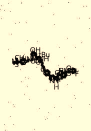 Cc1ncsc1-c1ccc(CNC(=O)[C@@H]2C[C@@H](O)CN2C(=O)[C@@H](NC(=O)CCCOc2ccc(-c3cnc4[nH]cc(C(=O)c5c(F)ccc(NS(=O)(=O)N6CC[C@@H](F)C6)c5F)c4c3)cc2)C(C)(C)C)cc1